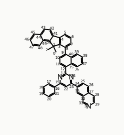 CC1(C)c2c(cccc2-c2ccc(-c3nc(-c4ccccc4)cc(-c4ccc5ccncc5c4)n3)c3ccccc23)-c2ccc3ccccc3c21